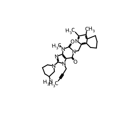 CC#CCn1c(N2CCCC(N)C2)nc2c1c(=O)n(Cc1nc(C)c(C)c3c1CCCC3)c(=O)n2C